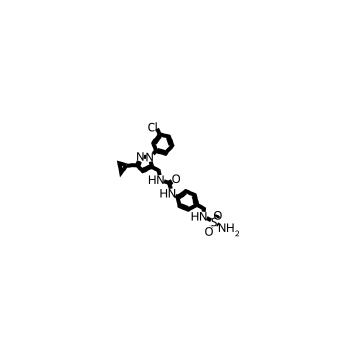 NS(=O)(=O)NCc1ccc(NC(=O)NCc2cc(C3CC3)nn2-c2cccc(Cl)c2)cc1